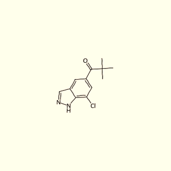 CC(C)(C)C(=O)c1cc(Cl)c2[nH]ncc2c1